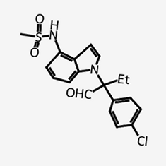 CCC(C=O)(c1ccc(Cl)cc1)n1ccc2c(NS(C)(=O)=O)cccc21